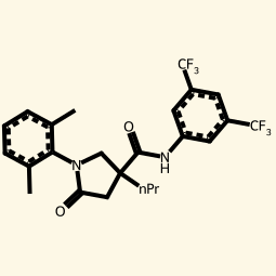 CCCC1(C(=O)Nc2cc(C(F)(F)F)cc(C(F)(F)F)c2)CC(=O)N(c2c(C)cccc2C)C1